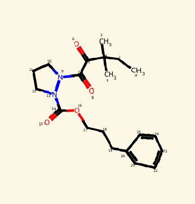 CCC(C)(C)C(=O)C(=O)N1CCCN1C(=O)OCCCc1ccccc1